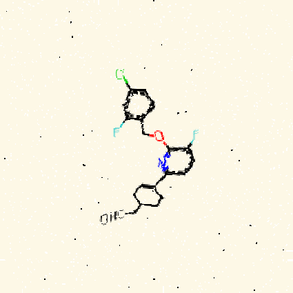 O=CCC1CC=C(c2ccc(F)c(OCc3ccc(Cl)cc3F)n2)CC1